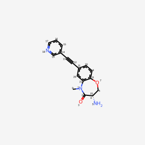 CN1C(=O)[C@@H](N)COc2ccc(C#Cc3cccnc3)cc21